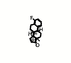 C[C@]12CC[C@@H]3c4cccc(F)c4CC[C@H]3[C@@H]1C=CC2=O